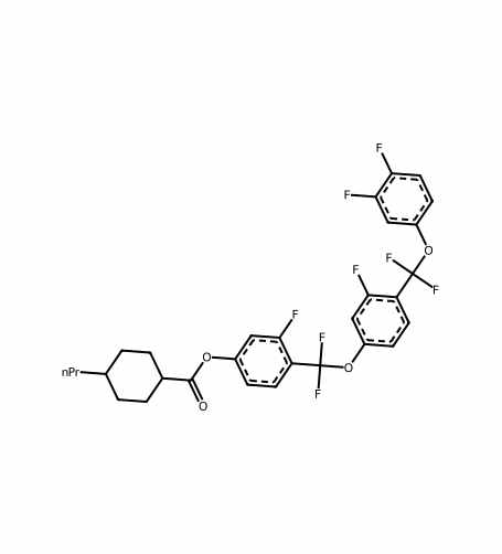 CCCC1CCC(C(=O)Oc2ccc(C(F)(F)Oc3ccc(C(F)(F)Oc4ccc(F)c(F)c4)c(F)c3)c(F)c2)CC1